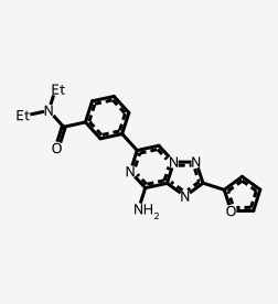 CCN(CC)C(=O)c1cccc(-c2cn3nc(-c4ccco4)nc3c(N)n2)c1